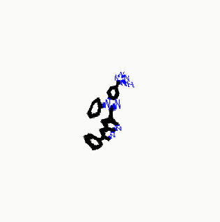 c1ccc(-c2cnc3ncc(-c4nc5cc(-c6nnn[nH]6)ccc5n4C4CCCCC4)cc3c2)cc1